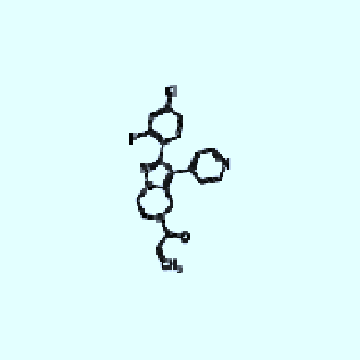 C=CC(=O)N1CCn2nc(-c3ccc(Cl)cc3F)c(-c3ccncc3)c2C1